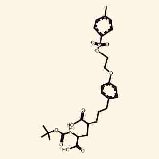 Cc1ccc(S(=O)(=O)OCCOc2ccc(CCC[C@@H](C[C@H](NC(=O)OC(C)(C)C)C(=O)O)C(=O)O)cc2)cc1